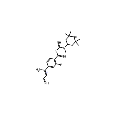 CN(C(=N)SC(=N)c1ccc(/C(N)=C/C=N)cc1F)C1CC(C)(C)NC(C)(C)C1